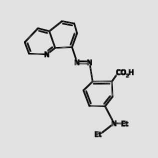 CCN(CC)c1ccc(N=Nc2cccc3cccnc23)c(C(=O)O)c1